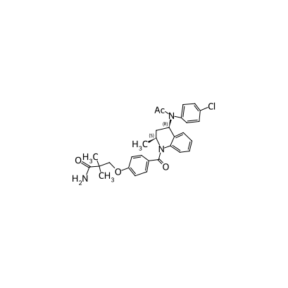 CC(=O)N(c1ccc(Cl)cc1)[C@@H]1C[C@H](C)N(C(=O)c2ccc(OCC(C)(C)C(N)=O)cc2)c2ccccc21